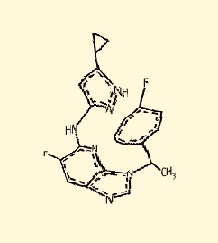 CC(c1ccc(F)cc1)n1cnc2cc(F)c(Nc3cc(C4CC4)[nH]n3)nc21